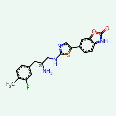 N[C@H](CNc1ncc(-c2ccc3[nH]c(=O)oc3c2)s1)Cc1ccc(C(F)(F)F)c(F)c1